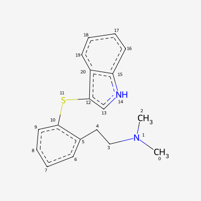 CN(C)CCc1ccccc1Sc1c[nH]c2ccccc12